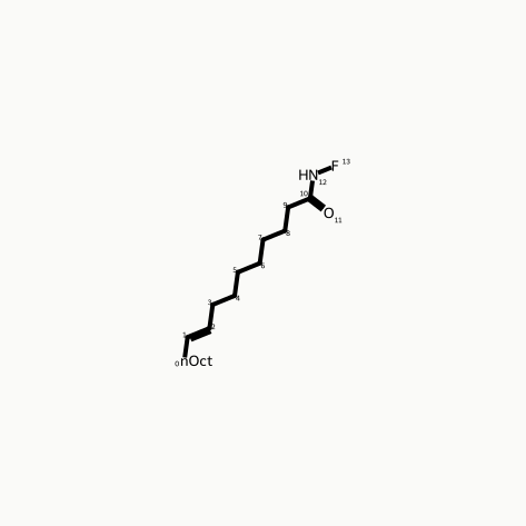 CCCCCCCCC=CCCCCCCCC(=O)NF